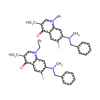 CC(C)Cn1cc(C(=O)O)c(=O)c2cc(F)c(N(C)Cc3ccccc3)cc21.CC(C)n1cc(C(=O)O)c(=O)c2cc(F)c(N(C)Cc3ccccc3)cc21